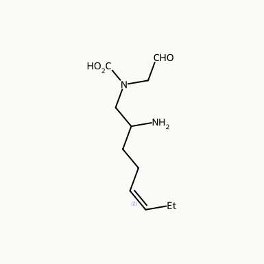 CC/C=C\CCC(N)CN(CC=O)C(=O)O